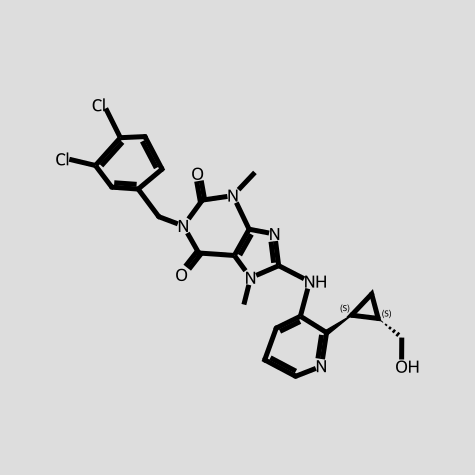 Cn1c(Nc2cccnc2[C@H]2C[C@@H]2CO)nc2c1c(=O)n(Cc1ccc(Cl)c(Cl)c1)c(=O)n2C